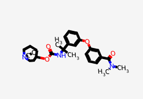 CN(C)C(=O)c1cccc(Oc2cccc(C(C)(C)NC(=O)OC3CCN4CCC3CC4)c2)c1